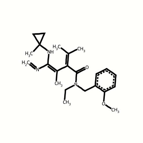 C=N/C(NC1(C)CC1)=C(\C)C(C(=O)N(CC)Cc1ccccc1OC)=C(C)C